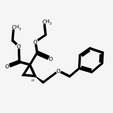 CCOC(=O)C1(C(=O)OCC)C[C@@H]1COCc1ccccc1